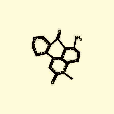 Cn1c(=O)cc2c3c(c(N)ccc31)C(=O)c1ccccc1-2